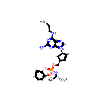 COCCNc1nc(N)nc2c1ncn2[C@H]1C=C[C@@H](CO[P@@](=O)(N[C@@H](C)C(=O)O)Oc2ccccc2)C1